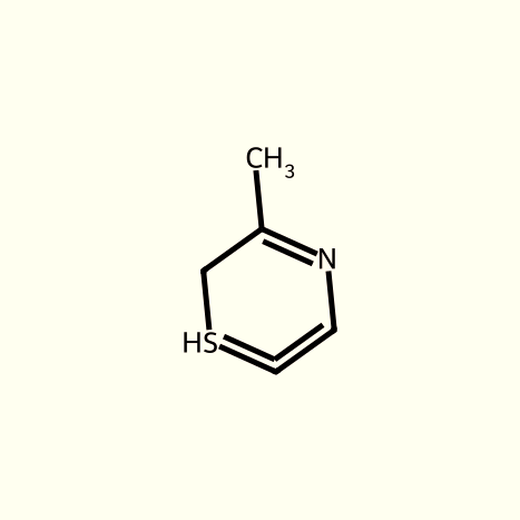 CC1=NC=C=[SH]C1